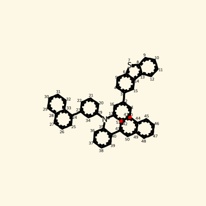 c1cc(-c2ccc3sc4ccccc4c3c2)cc(N(c2cccc(-c3cccc4ccccc34)c2)c2ccccc2-c2ccc3ccccc3c2)c1